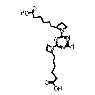 O=C(O)CCCCCC1CCN1c1nc(Cl)nc(N2CCC2CCCCCC(=O)O)n1